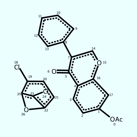 CC(=O)Oc1ccc2c(=O)c(-c3ccccc3)coc2c1.Clc1ccc2c(Cl)c1O2